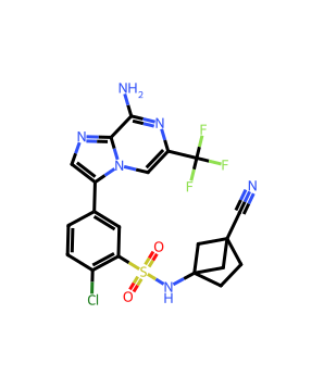 N#CC12CCC(NS(=O)(=O)c3cc(-c4cnc5c(N)nc(C(F)(F)F)cn45)ccc3Cl)(C1)C2